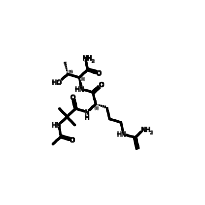 C=C(N)NCCC[C@H](NC(=O)C(C)(C)NC(C)=O)C(=O)N[C@H](C(N)=O)[C@@H](C)O